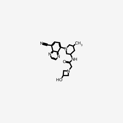 CC1CC(NC(=O)CN2CC(O)C2)CN(c2ccc(C#N)c3nccnc23)C1